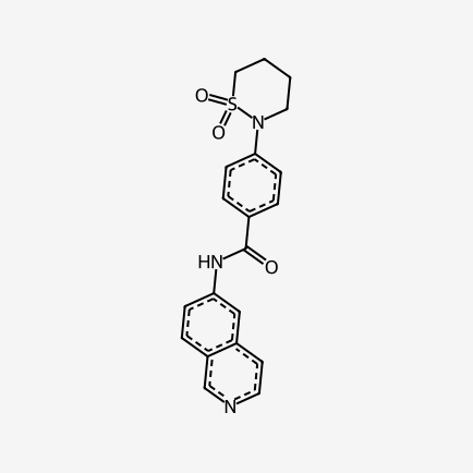 O=C(Nc1ccc2cnccc2c1)c1ccc(N2CCCCS2(=O)=O)cc1